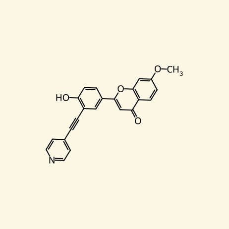 COc1ccc2c(=O)cc(-c3ccc(O)c(C#Cc4ccncc4)c3)oc2c1